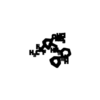 CC(F)(F)c1ccc(OC(F)(F)F)c(CN[C@H]2CCCN[C@H]2c2ccccc2)c1.Cl.Cl